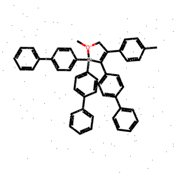 Cc1ccc(C2=C(c3ccc(-c4ccccc4)cc3)[B-](c3ccc(-c4ccccc4)cc3)(c3ccc(-c4ccccc4)cc3)[O+](C)C2)cc1